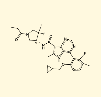 CCC(=O)N1C[C@@H](NC(=O)c2c(C)[nH]c3c(-c4c(OCC5CC5)ccc(C)c4F)ncnc23)C(F)(F)C1